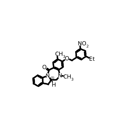 CCc1cc(COc2cc3c(cc2C)C(=O)N2c4ccccc4C[C@H]2CN3C)cc([N+](=O)[O-])c1